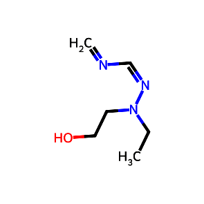 C=N/C=N\N(CC)CCO